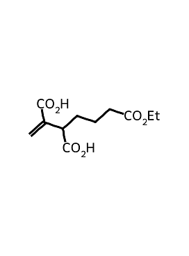 C=C(C(=O)O)C(CCCC(=O)OCC)C(=O)O